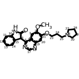 COc1cc2c(C3C(=O)Nc4ccccc43)ncnc2cc1OCCCN1CCCC1